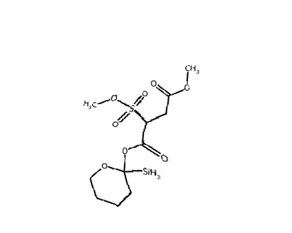 COC(=O)CC(C(=O)OC1([SiH3])CCCCO1)S(=O)(=O)OC